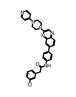 O=C(Cc1cccc(Cl)c1)Nc1ccc(-c2ccc3ncc(N4CCN(c5ccncc5)CC4)nc3c2)cc1